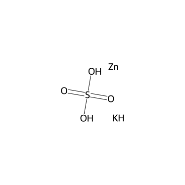 O=S(=O)(O)O.[KH].[Zn]